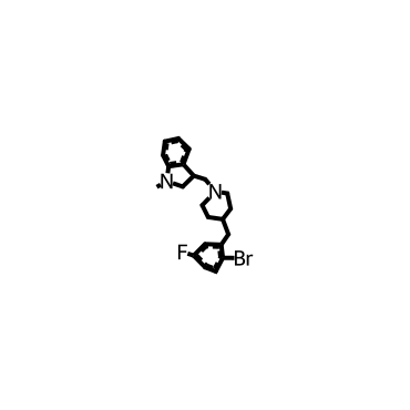 CN1CC(CN2CCC(Cc3cc(F)ccc3Br)CC2)c2ccccc21